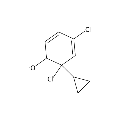 [O]C1C=CC(Cl)=CC1(Cl)C1CC1